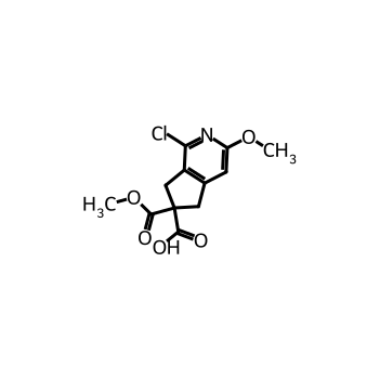 COC(=O)C1(C(=O)O)Cc2cc(OC)nc(Cl)c2C1